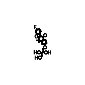 CC1(C)c2cc(OC[C@@H](O)C(O)CO)ccc2C(=O)c2c1oc1cc(F)ccc21